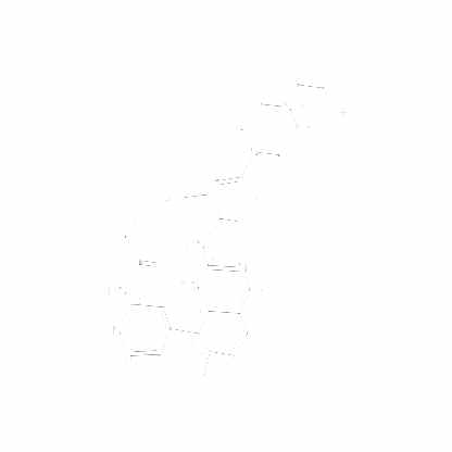 C=CC(=O)Nc1cc(-c2c(F)ccc3cnc(Nc4ccc(N5CCN(CC(C)O)CC5)cc4F)nc23)ccn1